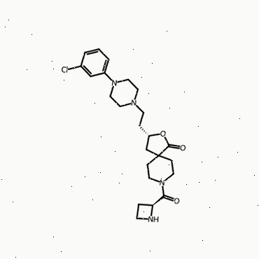 O=C([C@@H]1CCN1)N1CCC2(CC1)C[C@H](CCN1CCN(c3cccc(Cl)c3)CC1)OC2=O